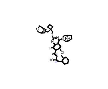 C/C(=C\C(O)=C/c1ccccc1C)c1c(Cl)cc2c(N3CC4CCC(C3)N4)nc(OCC3(CN4C5CCC4COC5)CCC3)nc2c1F